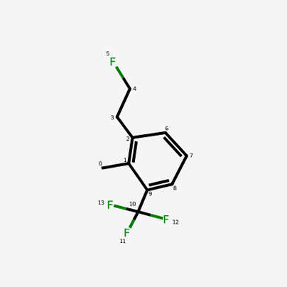 Cc1c(CCF)cccc1C(F)(F)F